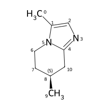 Cc1cnc2n1CC[C@H](C)C2